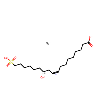 O=C([O-])CCCCCCC/C=C\C[C@H](O)CCCCCCS(=O)(=O)O.[Na+]